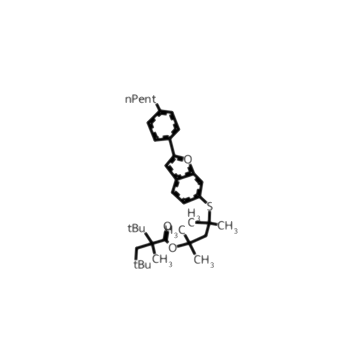 CCCCCc1ccc(-c2cc3ccc(SC(C)(C)CC(C)(C)OC(=O)C(C)(CC(C)(C)C)C(C)(C)C)cc3o2)cc1